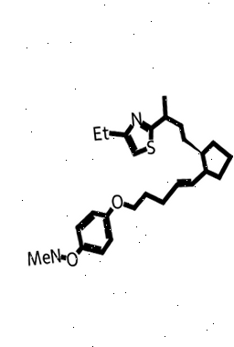 CCc1csc(C(C)CC[C@H]2CCCC2/C=C/CCCOc2ccc(ONC)cc2)n1